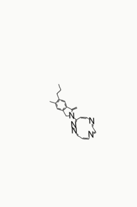 C=C1c2cc(CCC)c(C)cc2CN1C1=N/N=C\C=C/N=C/C=N/C=C\1